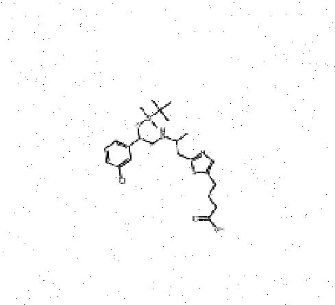 CC(Cc1ncc(CCCC(=O)O)s1)NCC(O[Si](C)(C)C(C)(C)C)c1cccc(Cl)c1